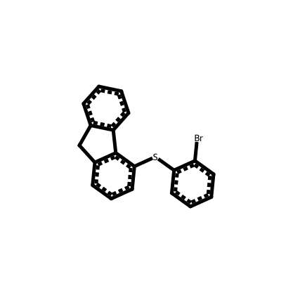 Brc1ccccc1Sc1cccc2c1-c1ccccc1C2